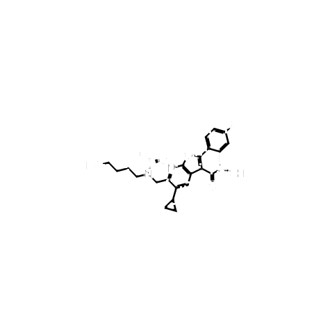 CCCCCN(Cc1nc2oc(-c3ccc(Cl)cc3)c(C(=O)NC)c2cc1C1CC1)[SH](=O)=O